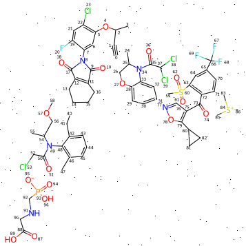 C#CC(C)Oc1cc(N2C(=O)C3=C(CCCC3)C2=O)c(F)cc1Cl.CC1COc2ccccc2N1C(=O)C(Cl)Cl.CCc1cccc(C)c1N(C(=O)CCl)C(C)COC.CS(=O)(=O)c1cc(C(F)(F)F)ccc1C(=O)c1cnoc1C1CC1.C[S+](C)C.O=C(O)CNCP(=O)([O-])O